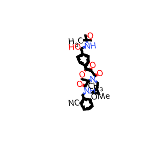 COc1cccc(C#N)c1CNC(=O)C1(C)COc2c(oc3cc(C(O)NC4(C)COC4)ccc23)C(=O)N1CC1CC1